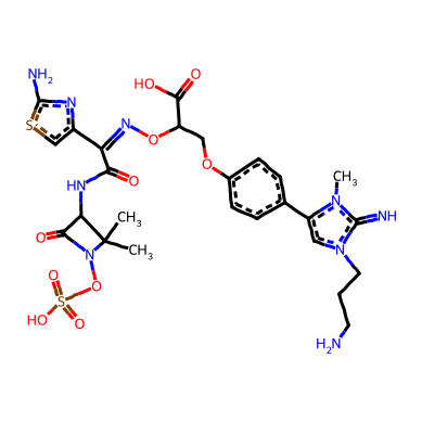 Cn1c(-c2ccc(OCC(ON=C(C(=O)NC3C(=O)N(OS(=O)(=O)O)C3(C)C)c3csc(N)n3)C(=O)O)cc2)cn(CCCN)c1=N